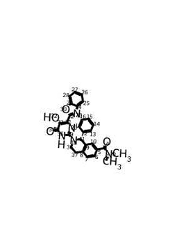 CN(C)C(=O)c1ccc2c(c1)[C@@H](c1ccccc1)N(c1nc(-c3nc4ccccc4o3)c(O)c(=O)[nH]1)CC2